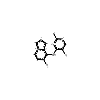 Cc1ncc(Br)c(Nc2c(Cl)ccn3cncc23)n1